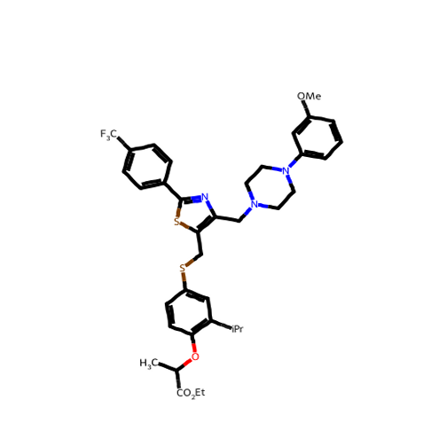 CCOC(=O)C(C)Oc1ccc(SCc2sc(-c3ccc(C(F)(F)F)cc3)nc2CN2CCN(c3cccc(OC)c3)CC2)cc1C(C)C